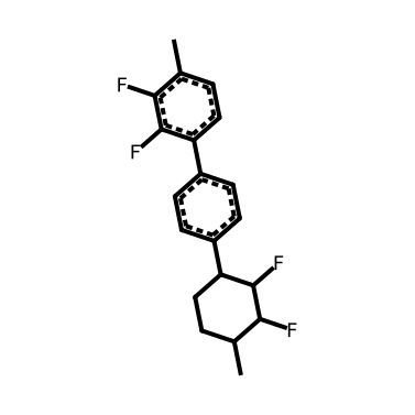 Cc1ccc(-c2ccc(C3CCC(C)C(F)C3F)cc2)c(F)c1F